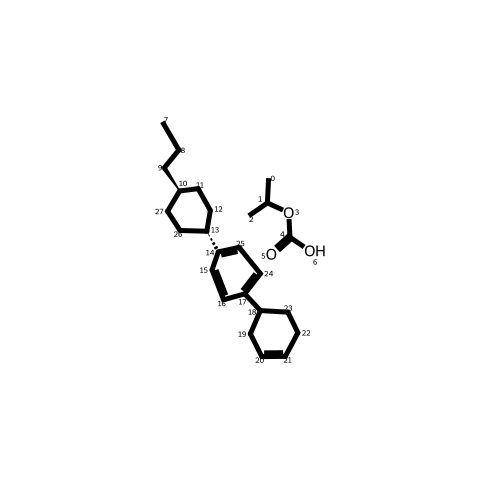 CC(C)OC(=O)O.CCC[C@H]1CC[C@H](c2ccc(C3CC=CCC3)cc2)CC1